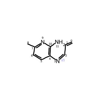 C=C/C=N\c1ccc(C)nc1N